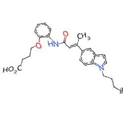 CC(=CC(=O)Nc1ccccc1OCCCC(=O)O)c1ccc2c(ccn2CCCC(C)C)c1